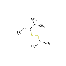 CC[C@@H](SSC(C)C)C(C)C